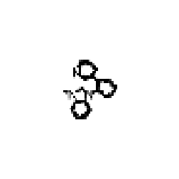 CN1CN(c2ccccc2-c2cccnc2)c2ccccc21